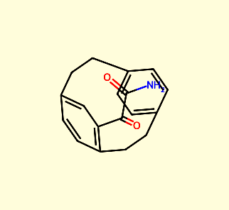 NC(=O)C(=O)c1cc2ccc1CCc1ccc(cc1)CC2